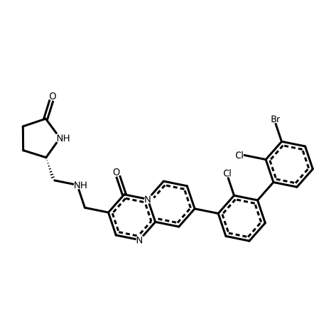 O=C1CC[C@@H](CNCc2cnc3cc(-c4cccc(-c5cccc(Br)c5Cl)c4Cl)ccn3c2=O)N1